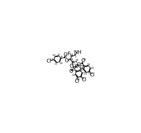 N=C[C@@H](F)[C@H](OC(=O)c1ccc(Cl)cc1)[C@@H](COC(=O)c1ccc(Cl)cc1)OS(=O)(=O)c1cc(Cl)c(Cl)cc1Cl